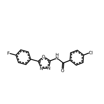 O=C(Nc1nnc(-c2ccc(F)cc2)o1)c1ccc(Cl)cc1